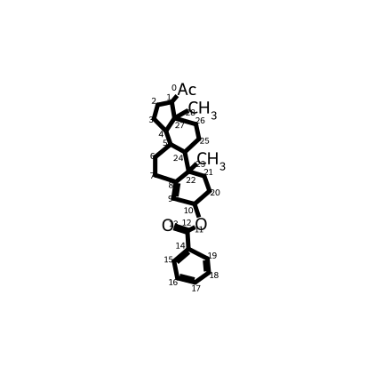 CC(=O)C1CCC2C3CCC4=CC(OC(=O)c5ccccc5)CCC4(C)C3CCC12C